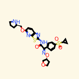 O=C(Nc1nc2ccc(OC[C@H]3CCCN3)nc2s1)/C(=N/O[C@@H]1CCOC1)c1ccc(S(=O)(=O)C2CC2)cc1